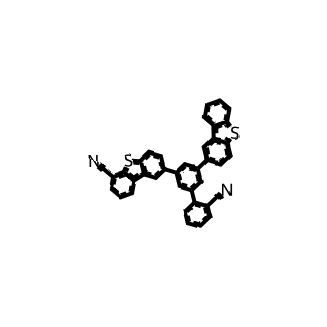 N#Cc1ccccc1-c1cc(-c2ccc3sc4ccccc4c3c2)cc(-c2ccc3sc4c(C#N)cccc4c3c2)c1